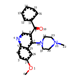 COc1ccc2ncc(C(=O)c3ccccc3)c(N3CCN(C)CC3)c2c1